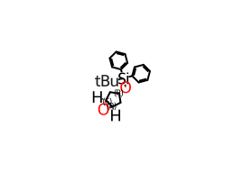 CC(C)(C)[Si](O[C@@H]1C[C@@H]2O[C@@H]2C1)(c1ccccc1)c1ccccc1